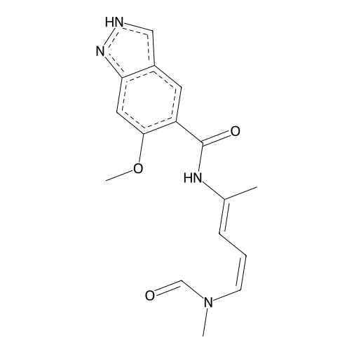 COc1cc2n[nH]cc2cc1C(=O)N/C(C)=C/C=C\N(C)C=O